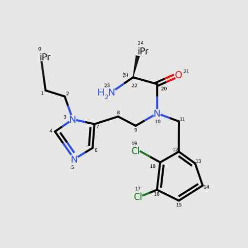 CC(C)CCn1cncc1CCN(Cc1cccc(Cl)c1Cl)C(=O)[C@@H](N)C(C)C